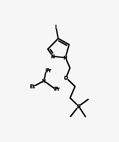 CCN(C(C)C)C(C)C.C[Si](C)(C)CCOCn1cc(I)cn1